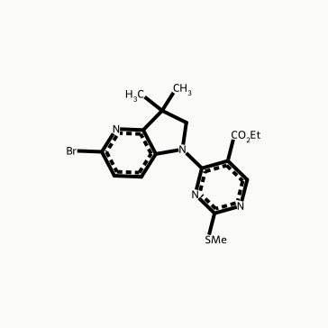 CCOC(=O)c1cnc(SC)nc1N1CC(C)(C)c2nc(Br)ccc21